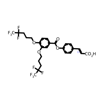 O=C(O)/C=C/c1ccc(OC(=O)c2ccc(OCCCC(F)(F)C(F)(F)F)c(OCCCC(F)(F)C(F)(F)F)c2)cc1